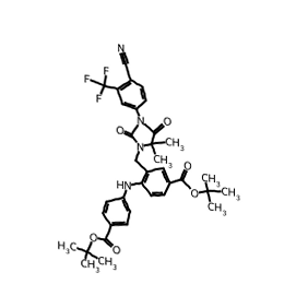 CC(C)(C)OC(=O)c1ccc(Nc2ccc(C(=O)OC(C)(C)C)cc2CN2C(=O)N(c3ccc(C#N)c(C(F)(F)F)c3)C(=O)C2(C)C)cc1